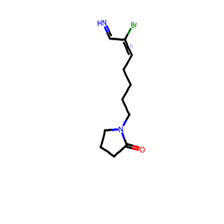 N=C/C(Br)=C\CCCCN1CCCC1=O